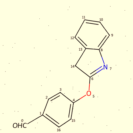 O=Cc1ccc(OC2=Nc3ccccc3C2)cc1